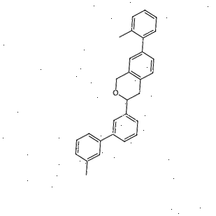 Cc1cccc(-c2cccc(C3Cc4ccc(-c5ccccc5C)cc4CO3)c2)c1